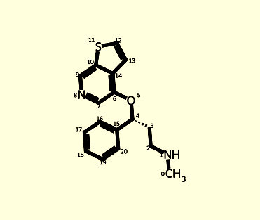 CNCC[C@@H](Oc1cncc2sccc12)c1ccccc1